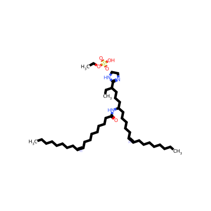 CCCCCCCC/C=C\CCCCCCCC(=O)NC(CCCCC/C=C\CCCCCCCC)CCCC(CC)C1=NCCN1.CCOS(=O)(=O)O